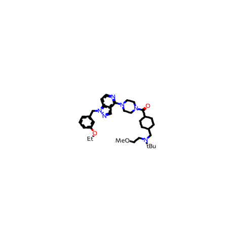 CCOc1cccc(Cn2ncc3c(N4CCN(C(=O)C5CCC(CN(CCOC)C(C)(C)C)CC5)CC4)nccc32)c1